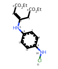 CCOC(=O)C=C(CC(=O)OCC)Nc1ccc(NCl)cc1